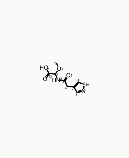 COC(NC(=O)Cc1cnsc1)C(=O)O